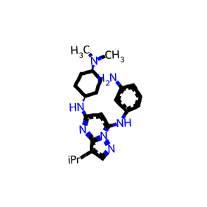 CC(C)c1cnn2c(Nc3cccc(N)c3)cc(N[C@H]3CC[C@H](N(C)C)CC3)nc12